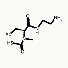 CC(=O)C[C@@H](C(=O)NCCN)N(C)C(=O)S